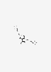 C[Si](C)(C)CCOCn1ncc2c(c(CBr)c(Br)n2COCC[Si](C)(C)C)c1=O